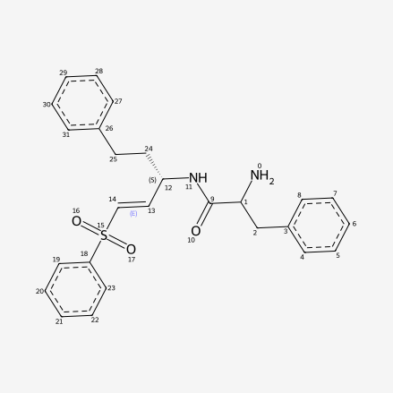 NC(Cc1ccccc1)C(=O)N[C@H](/C=C/S(=O)(=O)c1ccccc1)CCc1ccccc1